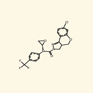 O=C(N1CC2COc3cc(Cl)ccc3C2=N1)N(c1ccc(C(F)(F)F)cc1)[C@H]1CO1